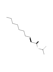 CCCCCCCC=CC(=O)NC(C)C